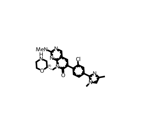 CNc1ncc2cc(-c3ccc(-c4nc(C)cn4C)cc3Cl)c(=O)n(C[C@H]3CNCCO3)c2n1